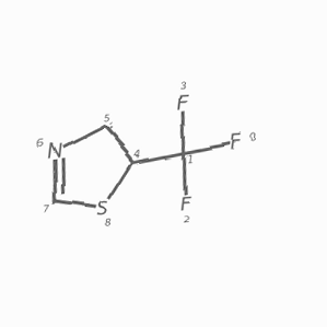 FC(F)(F)C1[C]N=CS1